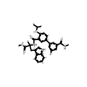 CNC(=O)c1cc(F)cc(-c2ccc(OC(C)C)c(C(=O)NC(C)(Cc3c[nH]c4ccccc34)C(=O)OC)c2)c1